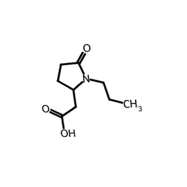 CCCN1C(=O)CCC1CC(=O)O